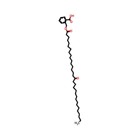 CCCCCCCCCCCCCCCC(=O)CCCCCCCCCCCCCCCC(=O)OCc1ccccc1C(=O)O